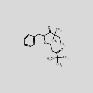 CCC(C)(C)C(=O)N(Cc1ccccc1)OCOC(=O)C(C)(C)C